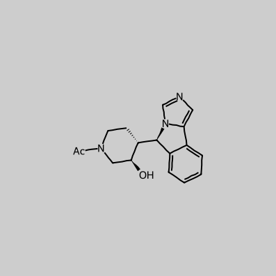 CC(=O)N1CC[C@H]([C@@H]2c3ccccc3-c3cncn32)[C@@H](O)C1